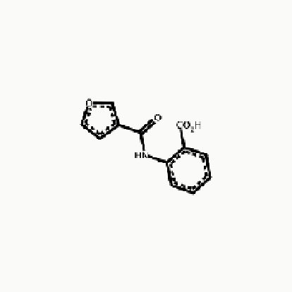 O=C(Nc1ccccc1C(=O)O)c1ccoc1